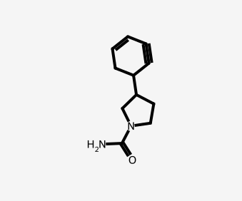 NC(=O)N1CCC(C2C#CC=CC2)C1